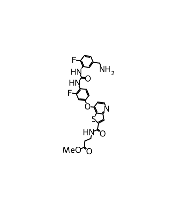 COC(=O)CCNC(=O)c1cc2nccc(Oc3ccc(NC(=O)Nc4cc(CN)ccc4F)c(F)c3)c2s1